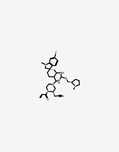 C=CC(=O)N1CCN(C2NC(OC[C@H]3CCCN3C)NC3C[C@]4(CCC32)CN(C)c2cc(F)ccc24)C[C@H]1CC#N